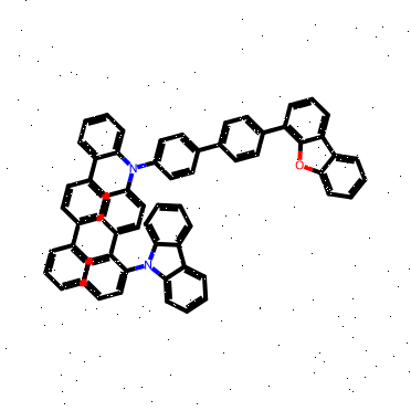 c1ccc(-c2ccc(-c3ccccc3N(c3ccc(-c4ccc(-c5cccc6c5oc5ccccc56)cc4)cc3)c3ccc(-c4ccccc4-n4c5ccccc5c5ccccc54)cc3)cc2)cc1